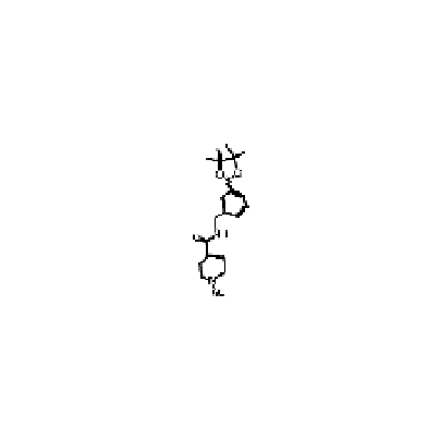 CC(=O)N1CCC(C(=O)NCc2cccc(B3OC(C)(C)C(C)(C)O3)c2)CC1